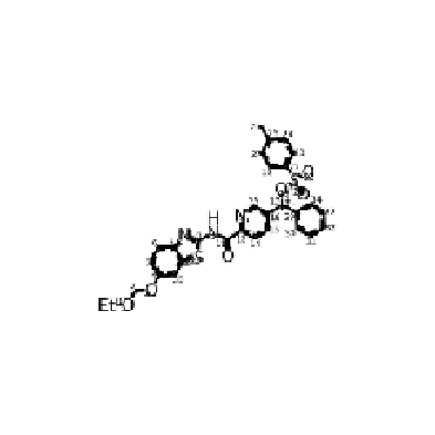 CCOCOc1ccc2nc(NC(=O)c3ccc([I+](OS(=O)(=O)c4ccc(C)cc4)c4ccccc4)cn3)sc2c1